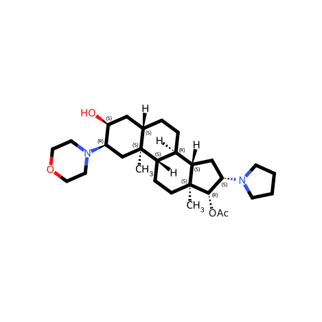 CC(=O)O[C@H]1[C@@H](N2CCCC2)C[C@H]2[C@@H]3CC[C@H]4C[C@H](O)[C@H](N5CCOCC5)C[C@]4(C)[C@H]3CC[C@@]21C